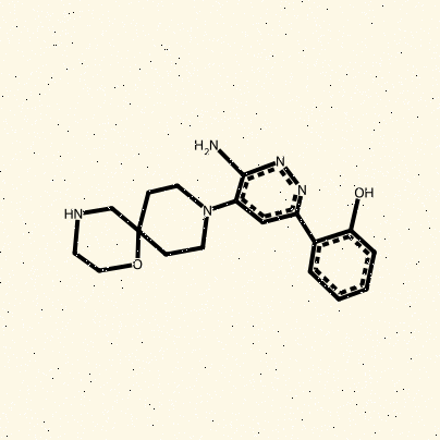 Nc1nnc(-c2ccccc2O)cc1N1CCC2(CC1)CNCCO2